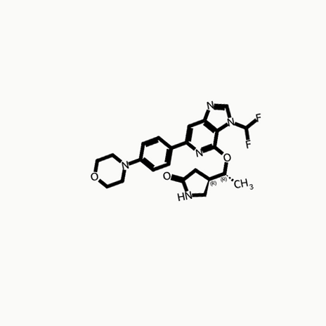 C[C@@H](Oc1nc(-c2ccc(N3CCOCC3)cc2)cc2ncn(C(F)F)c12)[C@H]1CNC(=O)C1